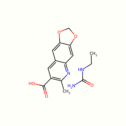 CCNC(N)=O.Cc1nc2cc3c(cc2cc1C(=O)O)OCO3